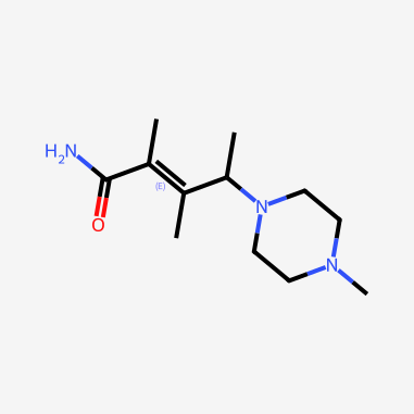 C/C(C(N)=O)=C(/C)C(C)N1CCN(C)CC1